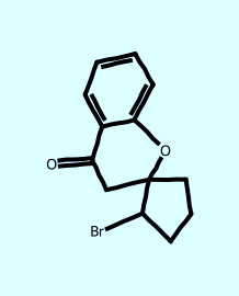 O=C1CC2(CCCC2Br)Oc2ccccc21